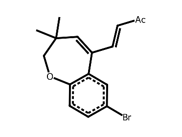 CC(=O)C=CC1=CC(C)(C)COc2ccc(Br)cc21